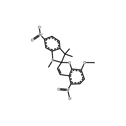 COc1ccc([N+](=O)[O-])c2c1OC1(C=C2)N(C)c2cc([N+](=O)[O-])ccc2C1(C)C